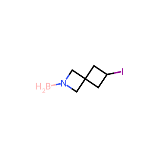 BN1CC2(CC(I)C2)C1